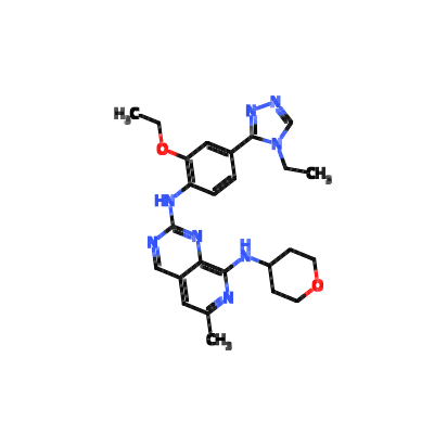 CCOc1cc(-c2nncn2CC)ccc1Nc1ncc2cc(C)nc(NC3CCOCC3)c2n1